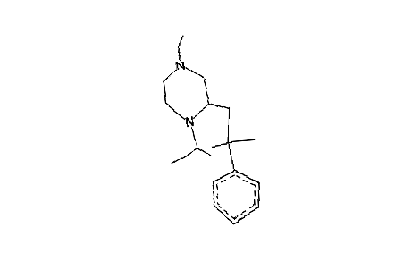 CC(C)N1CCN(C)CC1CC(C)(C)c1ccccc1